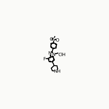 Cl.Cn1c(-c2ccc(S(C)(=O)=O)cc2)nc2c(F)cc(C3CCNCC3)cc21